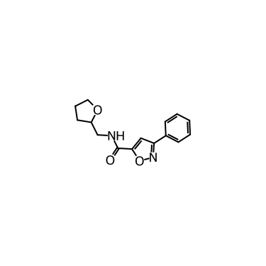 O=C(NCC1CCCO1)c1cc(-c2ccccc2)no1